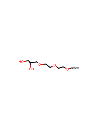 CCCCCCOCCOCCOCC(O)CO